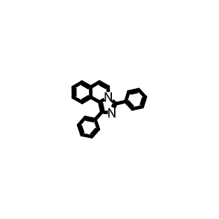 c1ccc(-c2nc(-c3ccccc3)n3ccc4ccccc4c23)cc1